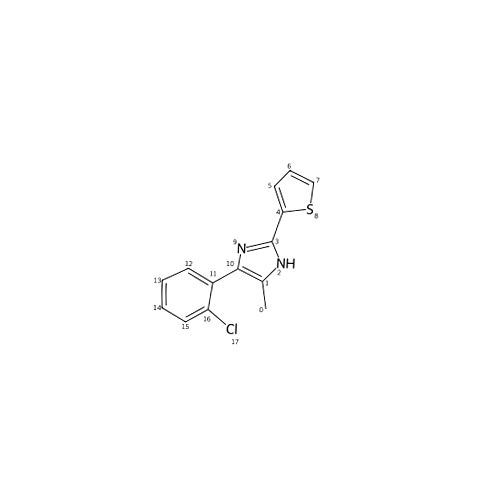 Cc1[nH]c(-c2cccs2)nc1-c1ccccc1Cl